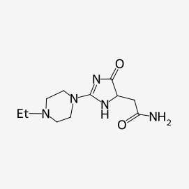 CCN1CCN(C2=NC(=O)C(CC(N)=O)N2)CC1